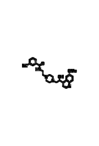 COc1ccc2nccc(C(O)CN3CCN(CCNC(=O)c4cccc(C#N)c4)CC3)c2c1